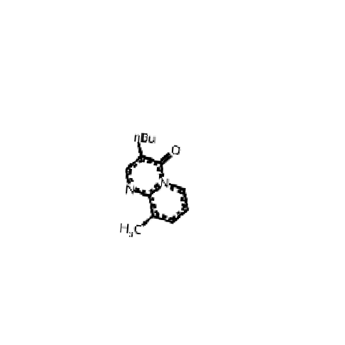 CCCCc1cnc2c(C)cccn2c1=O